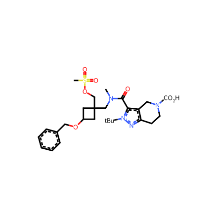 CN(CC1(COS(C)(=O)=O)CC(OCc2ccccc2)C1)C(=O)c1c2c(nn1C(C)(C)C)CCN(C(=O)O)C2